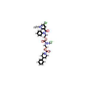 CCC[n+]1cc(Br)cc(C(=O)N(CCOC(=O)NCCOC(=O)N2CCC(c3ccccc3)CC2)c2ccccc2)c1.[Cl-]